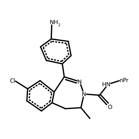 CCCNC(=O)N1N=C(c2ccc(N)cc2)c2cc(Cl)ccc2CC1C